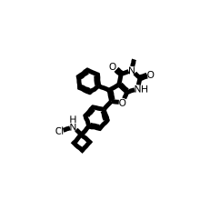 Cn1c(=O)[nH]c2oc(-c3ccc(C4(NCl)CCC4)cc3)c(-c3ccccc3)c2c1=O